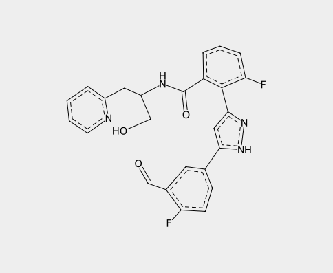 O=Cc1cc(-c2cc(-c3c(F)cccc3C(=O)NC(CO)Cc3ccccn3)n[nH]2)ccc1F